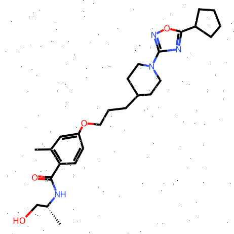 Cc1cc(OCCCC2CCN(c3noc(C4CCCC4)n3)CC2)ccc1C(=O)N[C@H](C)CO